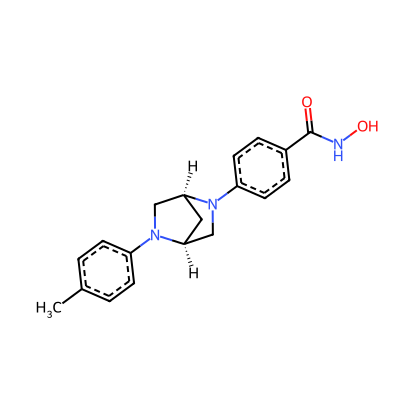 Cc1ccc(N2C[C@@H]3C[C@H]2CN3c2ccc(C(=O)NO)cc2)cc1